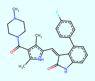 Cc1[nH]c(C=C2C(=O)Nc3cccc(-c4ccc(F)cc4)c32)c(C)c1C(=O)N1CCN(C)CC1